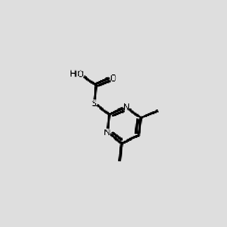 Cc1cc(C)nc(SC(=O)O)n1